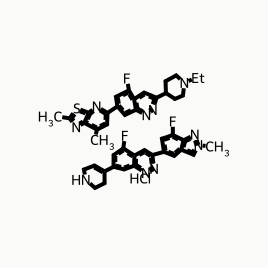 CCN1CCC(c2cc3c(F)cc(-c4cc(C)c5nc(C)sc5n4)cc3nn2)CC1.Cl.Cn1cc2cc(-c3cc4c(F)cc(C5=CCNCC5)cc4nn3)cc(F)c2n1